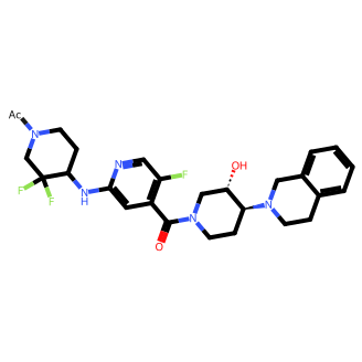 CC(=O)N1CCC(Nc2cc(C(=O)N3CC[C@H](N4CCc5ccccc5C4)[C@@H](O)C3)c(F)cn2)C(F)(F)C1